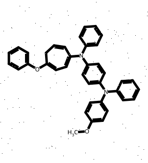 COc1ccc(N(c2ccccc2)c2ccc(N(C3=CC=C(Oc4ccccc4)CC=C3)c3ccccc3)cc2)cc1